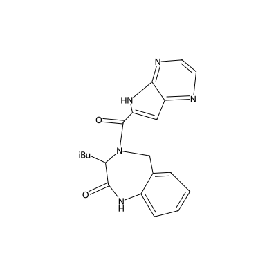 CCC(C)C1C(=O)Nc2ccccc2CN1C(=O)c1cc2nccnc2[nH]1